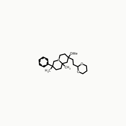 COC1(CCC2OCCCO2)CCN2CC(C)(c3ccccc3)CCC2(C)C1